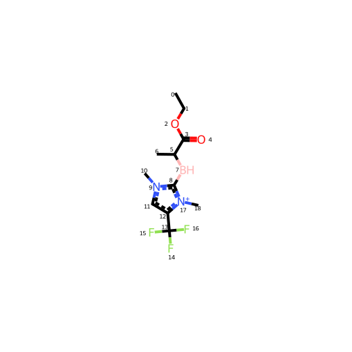 CCOC(=O)C(C)Bc1n(C)cc(C(F)(F)F)[n+]1C